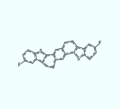 Fc1ccc2sc3c4cc5ccc6c7cc(F)ccc7sc6c5cc4ccc3c2c1